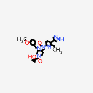 CCc1nc(N2CC3(CCN(C(=O)C4(O)CC4)CC3)N(Cc3cccc(OC)c3)C2=O)ccc1-c1cn[nH]c1